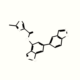 Cc1nc(C(=O)Nc2cc(-c3ccc4[nH]ncc4c3)cc3[nH]ncc23)cs1